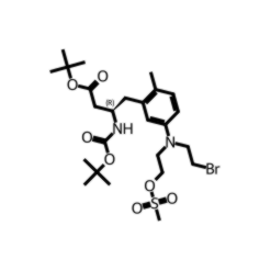 Cc1ccc(N(CCBr)CCOS(C)(=O)=O)cc1C[C@H](CC(=O)OC(C)(C)C)NC(=O)OC(C)(C)C